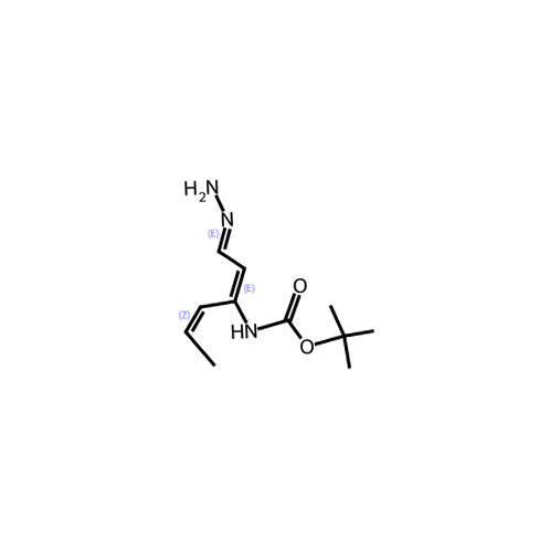 C\C=C/C(=C\C=N\N)NC(=O)OC(C)(C)C